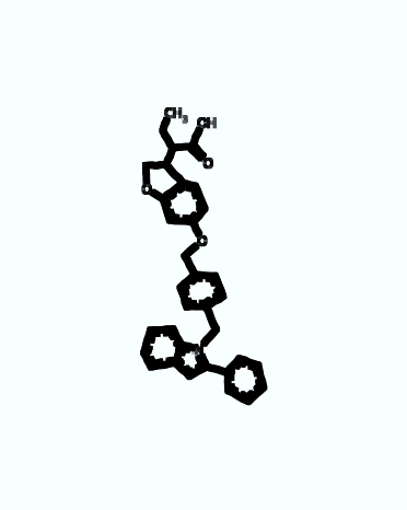 CCC(C(=O)O)C1COc2cc(OCc3ccc(Cn4c(-c5ccccc5)cc5ccccc54)cc3)ccc21